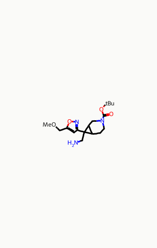 COCc1cc(C2(CN)C3CCN(C(=O)OC(C)(C)C)CC32)no1